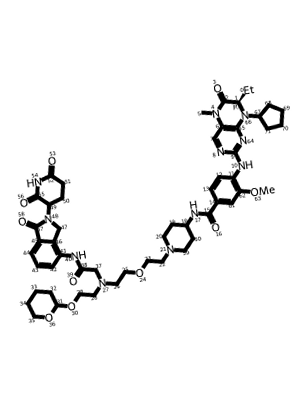 CC[C@@H]1C(=O)N(C)c2cnc(Nc3ccc(C(=O)NC4CCN(CCOCCN(CCOC5CCCCO5)CC(=O)Nc5cccc6c5CN(C5CCC(=O)NC5=O)C6=O)CC4)cc3OC)nc2N1C1CCCC1